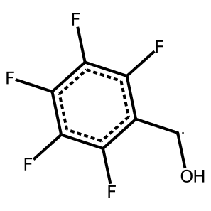 O[CH]c1c(F)c(F)c(F)c(F)c1F